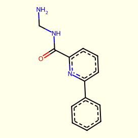 NCNC(=O)c1cccc(-c2ccccc2)n1